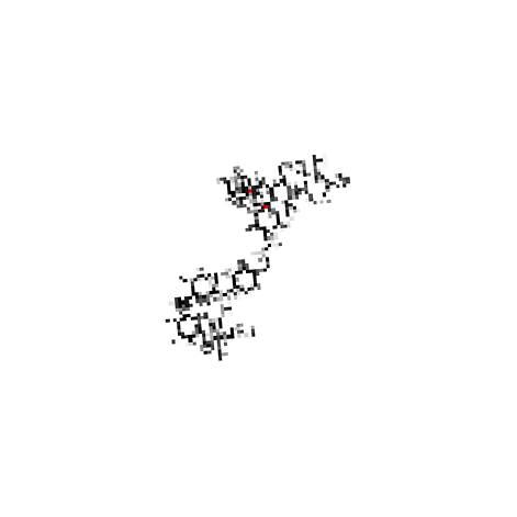 Cc1cnc(Nc2ccc(OCCN3CCC(CN4CC5CC(C4)N5c4ccc5c(c4)C(=O)N(C4CCC(=O)NC4=O)C5=O)CC3)cc2)nc1Nc1cccc(S(=O)(=O)NC(C)(C)C)c1